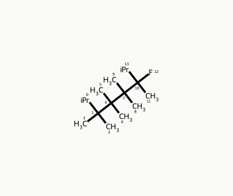 CC(C)C(C)(C)C(C)(C)C(C)(C)C(C)(F)C(C)C